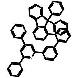 c1ccc(-c2cc(-c3ccccc3)nc(-c3cccc(-c4ccccc4-c4cccc5c4C(c4ccccc4)(c4ccccc4)c4ccccc4-5)c3)c2)cc1